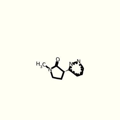 CN1CC[C@@H](c2cccnn2)C1=O